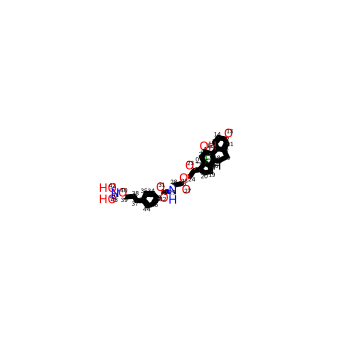 C[C@]12C[C@H](O)C3(F)[C@@H](CCC4=CC(=O)C=C[C@@]43C)C1CCC2C(=O)COC(=O)CNC(=O)Oc1ccc(CCCON(O)O)cc1